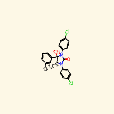 C[C@@H]1N(c2ccc(Cl)cc2)C(=O)N(c2ccc(Cl)cc2)C1(O)c1cccc(C#N)c1